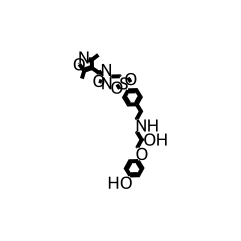 Cc1noc(C)c1-c1nc(CS(=O)(=O)c2ccc(CCNC[C@@H](O)COc3ccc(O)cc3)cc2)no1